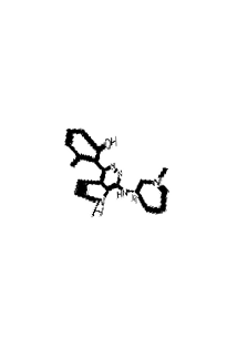 Cc1cccc(O)c1-c1nnc(N[C@@H]2CCCN(C)C2)c2[nH]ccc12